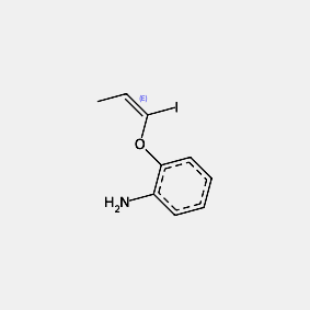 C/C=C(/I)Oc1ccccc1N